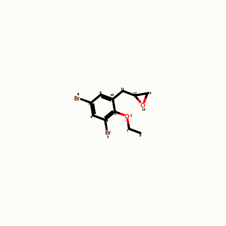 CCOc1c(Br)cc(Br)cc1CC1CO1